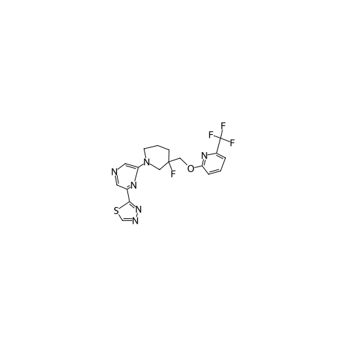 FC1(COc2cccc(C(F)(F)F)n2)CCCN(c2cncc(-c3nncs3)n2)C1